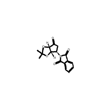 CC1(C)O[C@@H]2[C@H](O1)C(=O)C[C@H]2N1C(=O)c2ccccc2C1=O